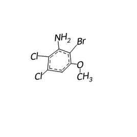 COc1cc(Cl)c(Cl)c(N)c1Br